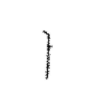 CCCC/C=C\CCCCCCCC(=O)OCCCCCCCCCCCCCCCCCCCCCC